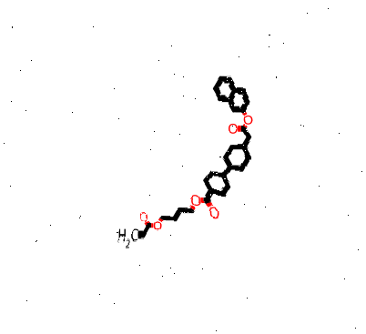 C=CC(=O)OCCCCOC(=O)C1CCC(C2CCC(CC(=O)Oc3ccc4ccccc4c3)CC2)CC1